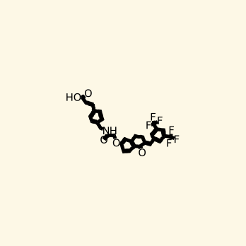 O=C(O)/C=C/c1ccc(CNC(=O)COc2ccc3c(c2)CC/C(=C\c2cc(C(F)(F)F)cc(C(F)(F)F)c2)C3=O)cc1